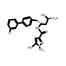 Cn1nc(C(=O)N[C@H](Cc2ccc(-c3cccc(Cl)c3)cc2)C[C@@H](O)C(=O)O)cc1O